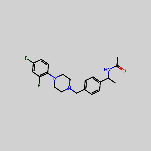 CC(=O)NC(C)c1ccc(CN2CCN(c3ccc(F)cc3F)CC2)cc1